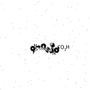 O=C(O)c1ccc2nc(CN3CCN(c4cccc(OCc5nc6cccc(F)c6s5)n4)CC3)n(C[C@@H]3CCO3)c2c1